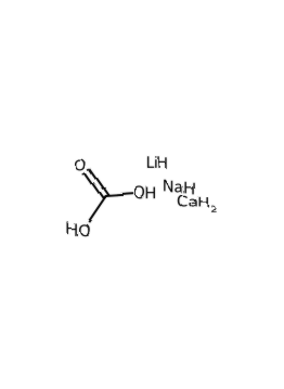 O=C(O)O.[CaH2].[LiH].[NaH]